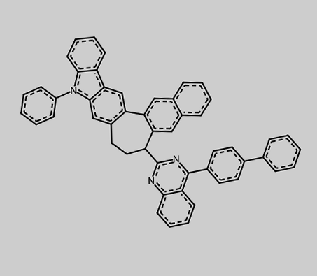 c1ccc(-c2ccc(-c3nc(C4CCc5cc6c(cc5-c5cc7ccccc7cc54)c4ccccc4n6-c4ccccc4)nc4ccccc34)cc2)cc1